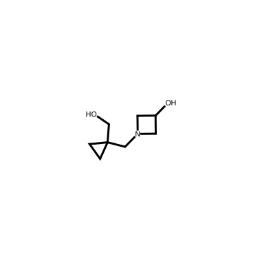 OCC1(CN2CC(O)C2)CC1